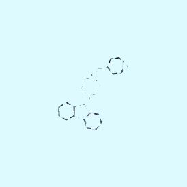 c1ccc2c(c1)-c1ccccc1C2N1CCN(Cc2ccncc2)CC1